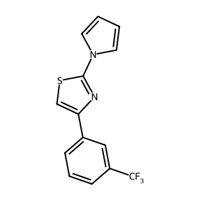 FC(F)(F)c1cccc(-c2csc(-n3cccc3)n2)c1